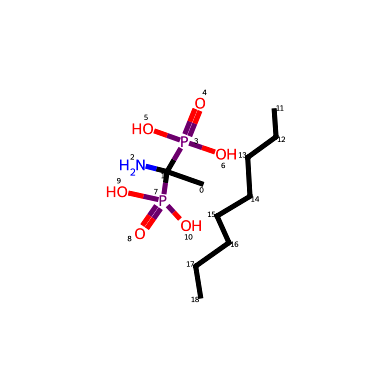 CC(N)(P(=O)(O)O)P(=O)(O)O.CCCCCCCC